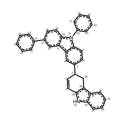 C1=CC(c2ccc3c(c2)c2cc(-c4ccccc4)ccc2n3-c2ccccc2)Cc2c1[nH]c1ccccc21